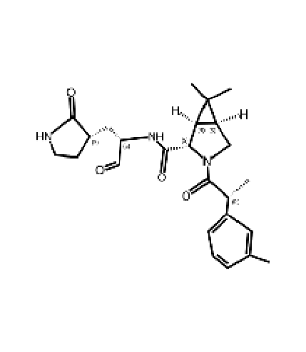 Cc1cccc([C@@H](C)C(=O)N2C[C@H]3[C@@H]([C@H]2C(=O)N[C@H](C=O)C[C@@H]2CCNC2=O)C3(C)C)c1